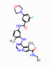 Cc1ccc(NC(=O)c2cc(F)cc(N3CCOCC3)c2)cc1Nc1ncnn2cc(C(=O)NCC(C)C)c(C)c12